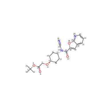 CC(C)(C)OC(=O)CO[C@H]1CC[C@H](N(C#N)C(=O)c2cc3cccnc3o2)CC1